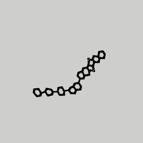 c1ccc(-c2ccc(-c3ccc(-c4ccc5ccc(-c6ccc7cc8c(cc7c6)sc6c7cc9ccccc9cc7sc86)cc5c4)cc3)cc2)cc1